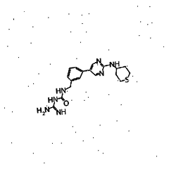 N=C(N)NC(=O)NCc1cccc(-c2cnc(NC3CCSCC3)nc2)c1